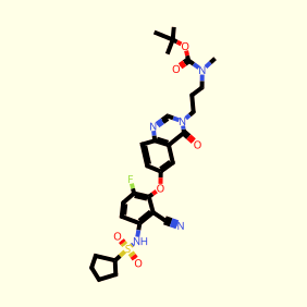 CN(CCCn1cnc2ccc(Oc3c(F)ccc(NS(=O)(=O)C4CCCC4)c3C#N)cc2c1=O)C(=O)OC(C)(C)C